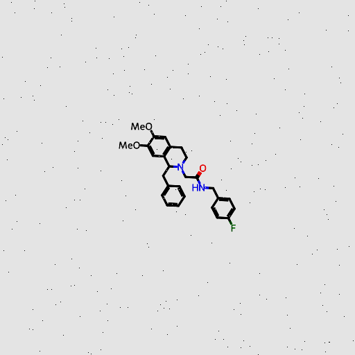 COc1cc2c(cc1OC)C(Cc1ccccc1)N(CC(=O)NCc1ccc(F)cc1)CC2